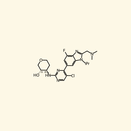 CC(C)n1c(CN(C)C)nc2c(F)cc(-c3nc(N[C@@H]4CCOC[C@H]4O)ncc3Cl)cc21